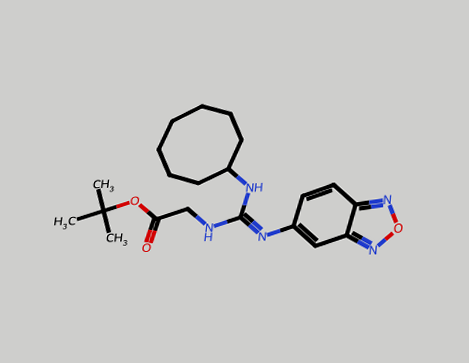 CC(C)(C)OC(=O)CNC(=Nc1ccc2nonc2c1)NC1CCCCCCC1